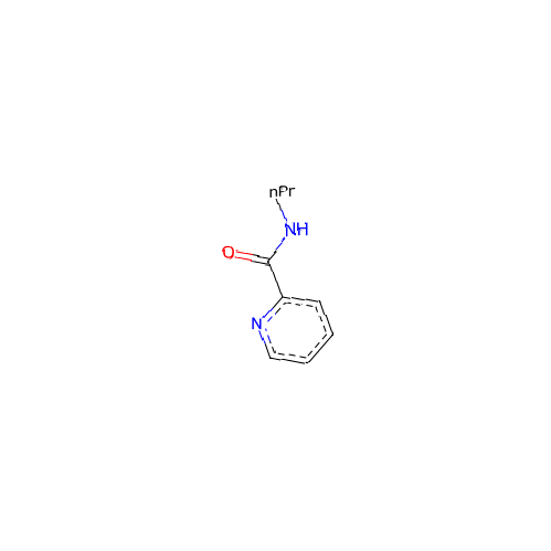 [CH2]CCNC(=O)c1ccccn1